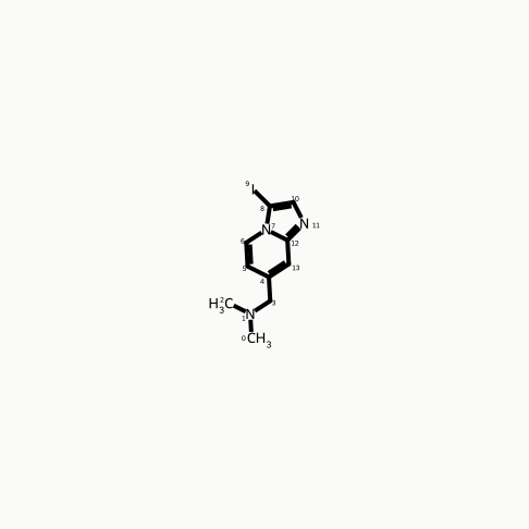 CN(C)Cc1ccn2c(I)cnc2c1